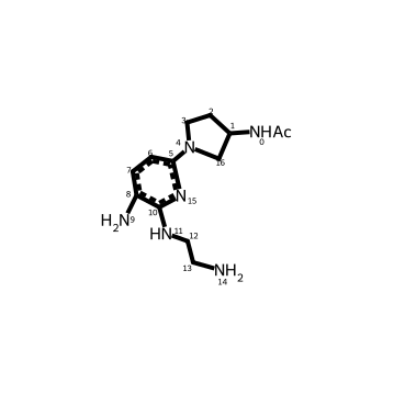 CC(=O)NC1CCN(c2ccc(N)c(NCCN)n2)C1